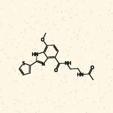 COc1ccc(C(=O)NCCNC(C)=O)c2nc(-c3cccs3)[nH]c12